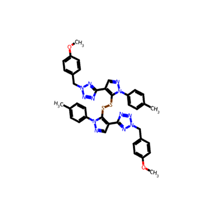 COc1ccc(Cn2nnc(-c3cnn(-c4ccc(C)cc4)c3SSc3c(-c4nnn(Cc5ccc(OC)cc5)n4)cnn3-c3ccc(C)cc3)n2)cc1